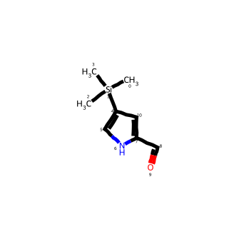 C[Si](C)(C)c1c[nH]c(C=O)c1